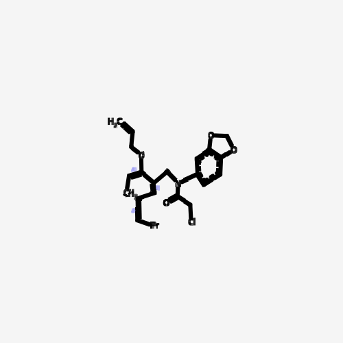 C=CCOC(=C/C)/C(=C\C=C/C(C)C)CN(C(=O)CCl)c1ccc2c(c1)OCO2